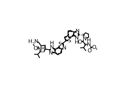 CON[C@H](CC(CCCN)c1nc2ccc3nc(-c4cc5ccc6nc([C@@H]7CCCN7C(=O)[C@@H](NC(=O)OC)C(C)C)[nH]c6c5s4)sc3c2[nH]1)C(C)C